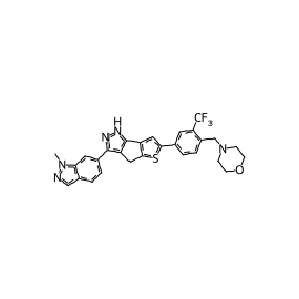 Cn1ncc2ccc(-c3n[nH]c4c3Cc3sc(-c5ccc(CN6CCOCC6)c(C(F)(F)F)c5)cc3-4)cc21